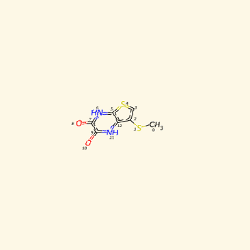 CSc1csc2[nH]c(=O)c(=O)[nH]c12